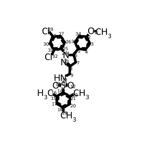 COc1ccc(C2CC(CNS(=O)(=O)c3c(C)cc(C)cc3C)=NN2c2ccc(Cl)cc2Cl)cc1